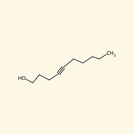 CCCCCC#CCCCO